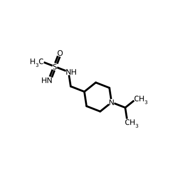 CC(C)N1CCC(CNS(C)(=N)=O)CC1